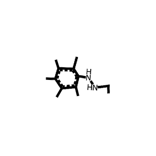 CCNNc1c(C)c(C)c(C)c(C)c1C